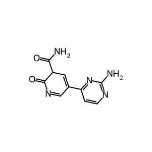 NC(=O)C1C=C(c2ccnc(N)n2)C=NC1=O